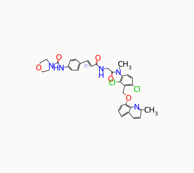 Cc1ccc2cccc(OCc3c(Cl)ccc(N(C)C(=O)CNC(=O)/C=C/c4ccc(NC(=O)N5CCOCC5)cc4)c3Cl)c2n1